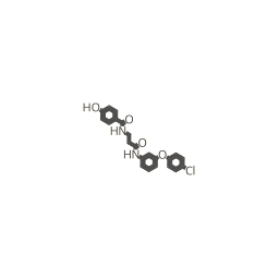 O=C(CCNC(=O)c1ccc(O)cc1)Nc1cccc(Oc2ccc(Cl)cc2)c1